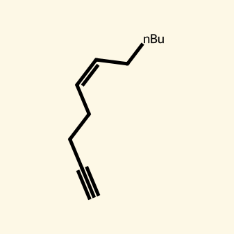 C#CCC/C=C\CCCCC